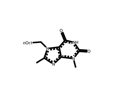 CCCCCCCCCn1c(C)nc2c1c(=O)[nH]c(=O)n2C